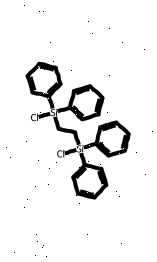 Cl[Si](CC[Si](Cl)(c1ccccc1)c1ccccc1)(c1ccccc1)c1ccccc1